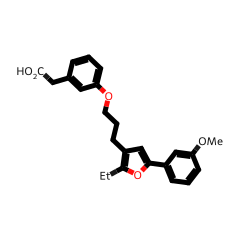 CCc1oc(-c2cccc(OC)c2)cc1CCCOc1cccc(CC(=O)O)c1